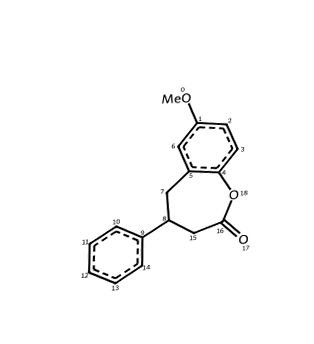 COc1ccc2c(c1)CC(c1ccccc1)CC(=O)O2